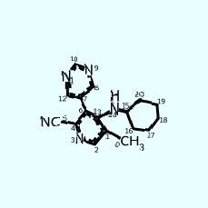 Cc1cnc(C#N)c(-c2cncnc2)c1NC1CCCCC1